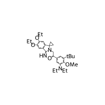 CCOc1cc2c(cc1OCC)C1(CC1)N(CC(=O)c1cc(N(CC)CC)c(OC)c(C(C)(C)C)c1)C2=N